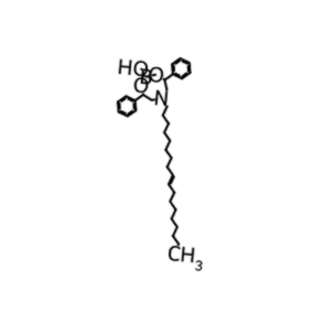 CCCCCCCCC=CCCCCCCCCN1CC(c2ccccc2)OB(O)OC(c2ccccc2)C1